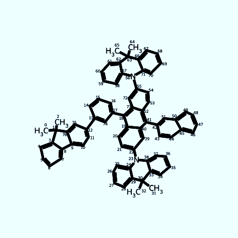 CC1(C)c2ccccc2-c2ccc(-c3cccc(-c4c5ccc(N6c7ccccc7C(C)(C)c7ccccc76)cc5c(-c5ccc6ccccc6c5)c5ccc(N6c7ccccc7C(C)(C)c7ccccc76)cc45)c3)cc21